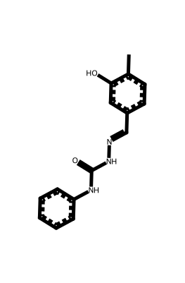 Cc1ccc(/C=N/NC(=O)Nc2ccccc2)cc1O